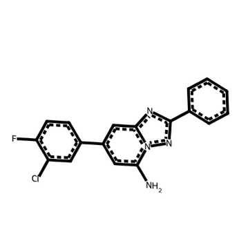 Nc1cc(-c2ccc(F)c(Cl)c2)cc2nc(-c3ccccc3)nn12